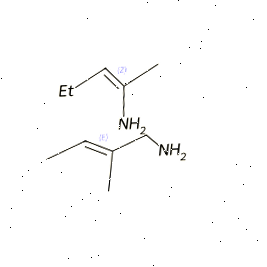 C/C=C(\C)CN.CC/C=C(/C)N